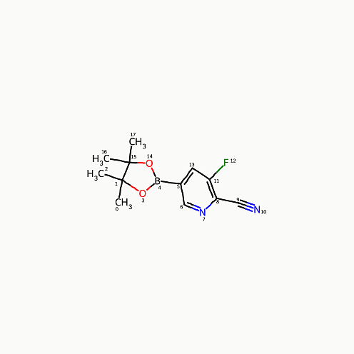 CC1(C)OB(c2cnc(C#N)c(F)c2)OC1(C)C